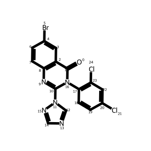 O=c1c2cc(Br)ccc2nc(-n2cncn2)n1-c1ccc(Cl)cc1Cl